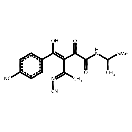 CSC(C)NC(=O)C(=O)/C(C(C)=NC#N)=C(\O)c1ccc(C#N)cc1